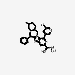 C=C(c1ccccc1)c1nc2cc(C(=N)NO)nc(-c3cncc(Cl)c3)c2n1CC1CCC(C)CC1